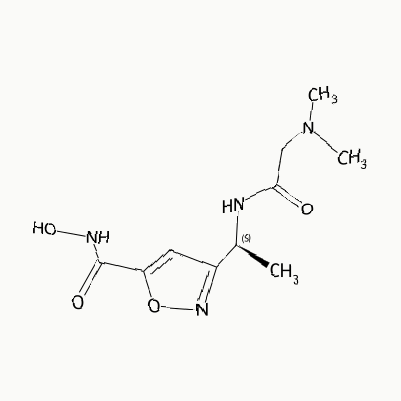 C[C@H](NC(=O)CN(C)C)c1cc(C(=O)NO)on1